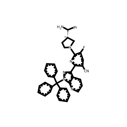 CC(C)C(N)[C@H]1CCN(c2nc(-c3nn(C(c4ccccc4)(c4ccccc4)c4ccccc4)c4ncccc34)c(C#N)cc2F)C1